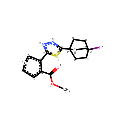 COC(=O)c1ccccc1-c1nnc(C23CCC(I)(CC2)CC3)s1